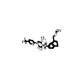 C[C@H]1CN(c2ccc(C(F)(F)F)cn2)C[C@H](C)N1S(=O)(=O)c1ccc2c(c1)C(COO)CC2